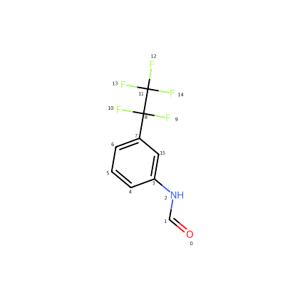 O=CNc1cccc(C(F)(F)C(F)(F)F)c1